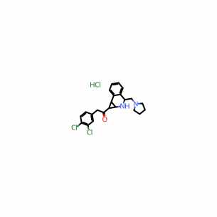 Cl.O=C(Cc1ccc(Cl)c(Cl)c1)C1C2NC(CN3CCCC3)c3ccccc3C21